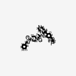 CC(Nc1c(-c2ccc(OC(F)(F)F)cc2)nc2cnccn12)C(=O)N1CCN(C(=O)OCc2ccccc2)CC1